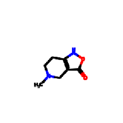 CN1CCc2[nH]oc(=O)c2C1